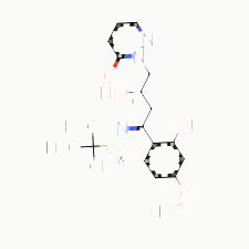 COc1ccc(C(C[C@@H](O)Cn2ncccc2=O)=N[S@@+]([O-])C(C)(C)C)c(O)c1